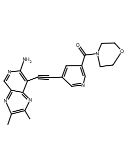 Cc1nc2cnc(N)c(C#Cc3cncc(C(=O)N4CCOCC4)c3)c2nc1C